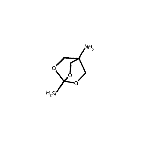 NC12COC([SiH3])(OC1)OC2